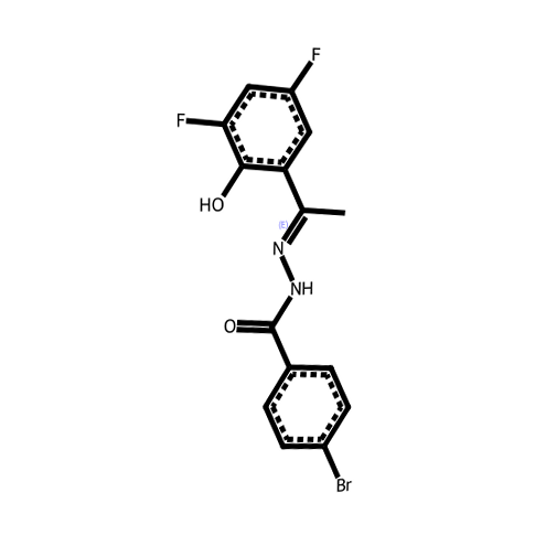 C/C(=N\NC(=O)c1ccc(Br)cc1)c1cc(F)cc(F)c1O